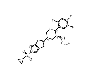 O=C(O)N[C@H]1C[C@@H](N2Cc3cn(S(=O)(=O)C4CC4)nc3C2)CO[C@H]1c1cc(F)c(F)cc1F